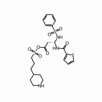 O=C(C[C@@H](NC(=O)c1cccs1)NS(=O)(=O)c1ccccc1)OS(=O)(=O)CCCC1CCNCC1